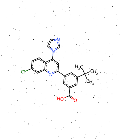 CC(C)(C)c1cc(C(=O)O)cc(-c2cc(-n3ccnc3)c3ccc(Cl)cc3n2)c1